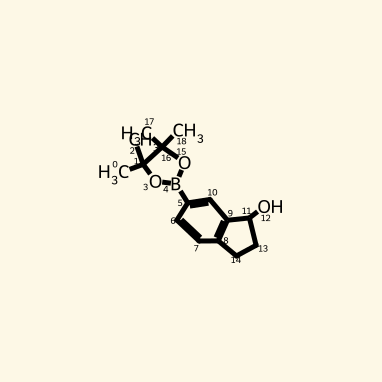 CC1(C)OB(c2ccc3c(c2)C(O)CC3)OC1(C)C